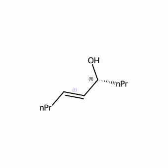 CCC/C=C/[C@H](O)CCC